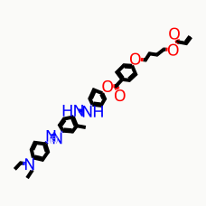 C=CC(=O)OCCCCOc1ccc(C(=O)Oc2ccc(NNc3ccc(/N=N/c4ccc(N(CC)CC)cc4)cc3C)cc2)cc1